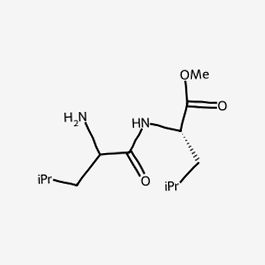 COC(=O)[C@H](CC(C)C)NC(=O)C(N)CC(C)C